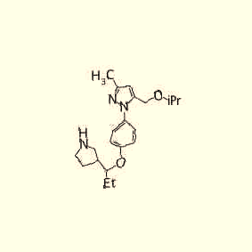 CCC(Oc1ccc(-n2nc(C)cc2COC(C)C)cc1)C1CCNC1